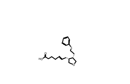 O=C(O)CCCC=CC[C@H]1COC[C@H]1CCSc1ccccc1